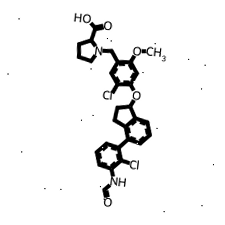 COc1cc(OC2CCc3c(-c4cccc(NC=O)c4Cl)cccc32)c(Cl)cc1CN1CCCC1C(=O)O